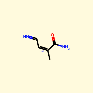 C/C(=C/C=N)C(N)=O